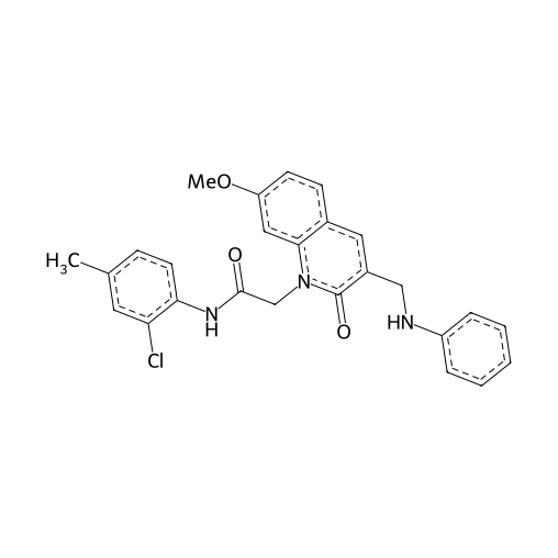 COc1ccc2cc(CNc3ccccc3)c(=O)n(CC(=O)Nc3ccc(C)cc3Cl)c2c1